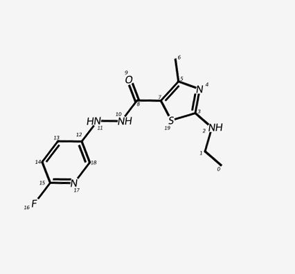 CCNc1nc(C)c(C(=O)NNc2ccc(F)nc2)s1